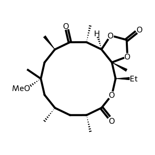 CC[C@H]1OC(=O)[C@H](C)C[C@H](C)C[C@](C)(OC)C[C@@H](C)C(=O)[C@H](C)[C@H]2OC(=O)O[C@@]21C